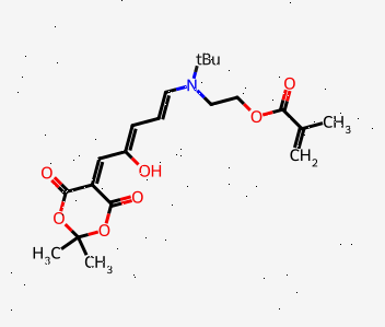 C=C(C)C(=O)OCCN(/C=C/C=C(\O)C=C1C(=O)OC(C)(C)OC1=O)C(C)(C)C